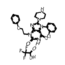 O=C(O)C(F)(F)F.O=c1[nH]c(=O)n(CCOc2ccccc2)c2nc(N3CCNCC3)n(-c3ccccc3Cl)c12